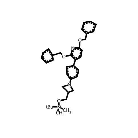 CC(C)(C)[Si](C)(C)OCC1CN(c2ccc(-c3ccc(OCc4ccccc4)nc3OCc3ccccc3)cc2)C1